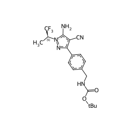 C[C@H](n1nc(-c2ccc(CNC(=O)OC(C)(C)C)cc2)c(C#N)c1N)C(F)(F)F